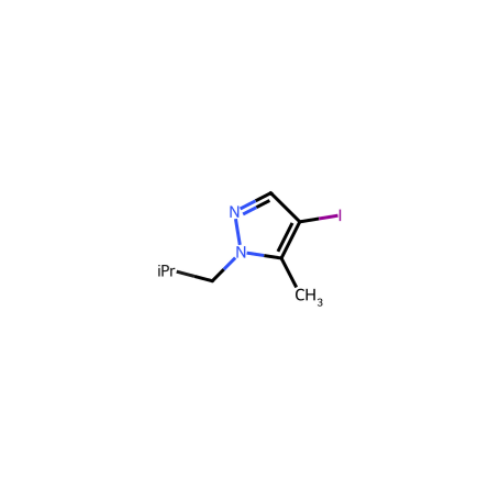 Cc1c(I)cnn1CC(C)C